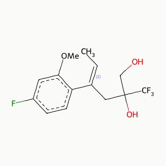 C/C=C(/CC(O)(CO)C(F)(F)F)c1ccc(F)cc1OC